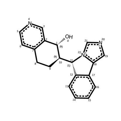 O[C@H]1c2cnccc2CC[C@@H]1[C@H]1c2ccccc2-c2cncn21